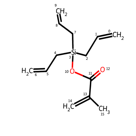 C=CC[Si](CC=C)(CC=C)OC(=O)C(=C)C